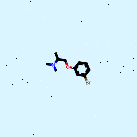 CC(COc1cccc(Br)c1)N(C)C